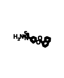 Nc1nc(-c2ccc(OC(=O)c3cccc4ccccc34)cc2)cs1